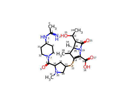 CC(=N)NC1CCN(C(=O)C2CC(SC3=C(C(=O)O)N4C(=O)C(C(C)O)[C@@H]4C3C)CN2C)CC1